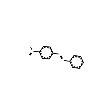 O=[N+]([O-])c1ccc(N=Nc2cc[c]cc2)cc1